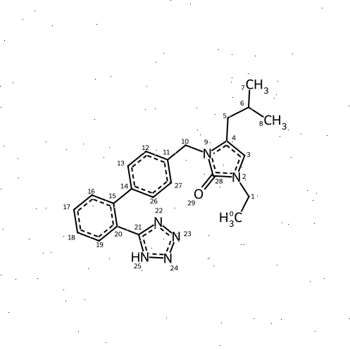 CCn1cc(CC(C)C)n(Cc2ccc(-c3ccccc3-c3nnn[nH]3)cc2)c1=O